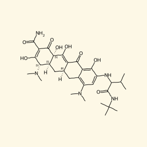 CC(C)C(Nc1cc(N(C)C)c2c(c1O)C(=O)C1=C(O)[C@]3(O)C(=O)C(C(N)=O)=C(O)[C@@H](N(C)C)[C@@H]3C[C@@H]1C2)C(=O)NC(C)(C)C